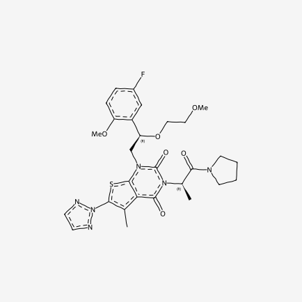 COCCO[C@@H](Cn1c(=O)n([C@H](C)C(=O)N2CCCC2)c(=O)c2c(C)c(-n3nccn3)sc21)c1cc(F)ccc1OC